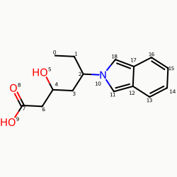 CCC(CC(O)CC(=O)O)n1cc2ccccc2c1